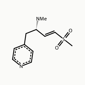 CN[C@H](/C=C/S(C)(=O)=O)Cc1ccncc1